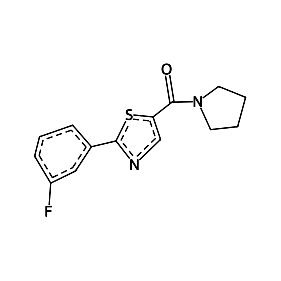 O=C(c1cnc(-c2cccc(F)c2)s1)N1CCCC1